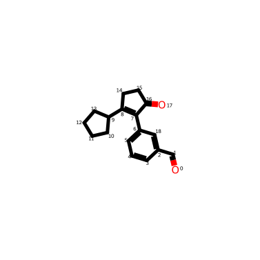 O=Cc1cccc(C2=C(C3CCCC3)CCC2=O)c1